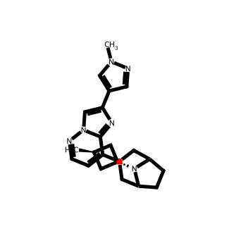 Cn1cc(-c2cn3nccc(N4CC5CCC(C4)N5[C@H]4C[C@H](C)C4)c3n2)cn1